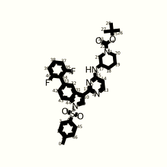 Cc1ccc(S(=O)(=O)n2cc(-c3nccc(NC4CCCN(C(=O)OC(C)(C)C)C4)n3)c3cc(-c4c(F)cccc4F)ccc32)cc1